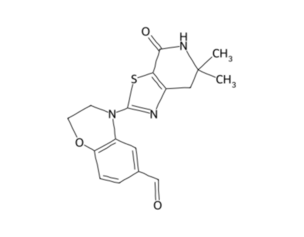 CC1(C)Cc2nc(N3CCOc4ccc(C=O)cc43)sc2C(=O)N1